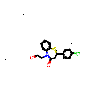 O=CCN1C(=O)CC(c2ccc(Cl)cc2)Sc2ccccc21